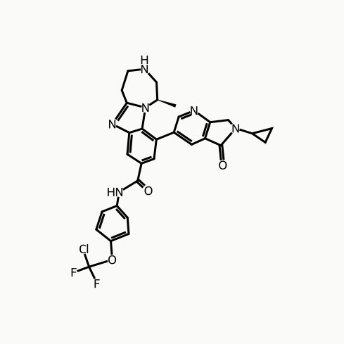 C[C@@H]1CNCCc2nc3cc(C(=O)Nc4ccc(OC(F)(F)Cl)cc4)cc(-c4cnc5c(c4)C(=O)N(C4CC4)C5)c3n21